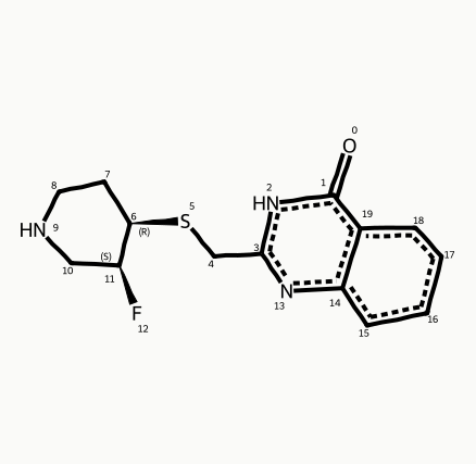 O=c1[nH]c(CS[C@@H]2CCNC[C@@H]2F)nc2ccccc12